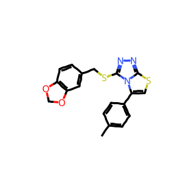 Cc1ccc(-c2csc3nnc(SCc4ccc5c(c4)OCO5)n23)cc1